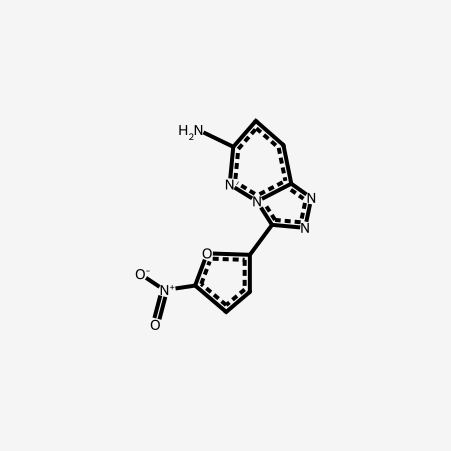 Nc1ccc2nnc(-c3ccc([N+](=O)[O-])o3)n2n1